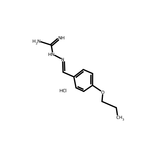 CCCOc1ccc(C=NNC(=N)N)cc1.Cl